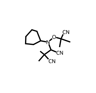 CC(C)(C#N)ON(C1CCCCC1)C(C#N)C(C)(C)C#N